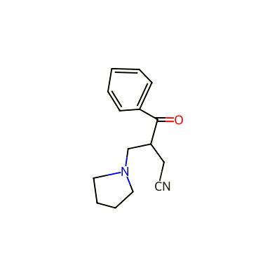 N#CCC(CN1CCCC1)C(=O)c1ccccc1